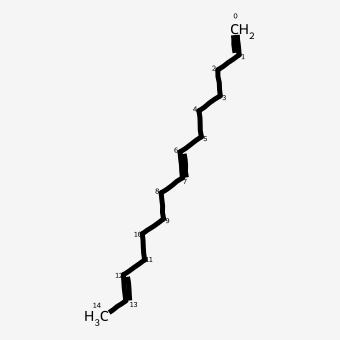 C=CCCCCC=CCCCCC=CC